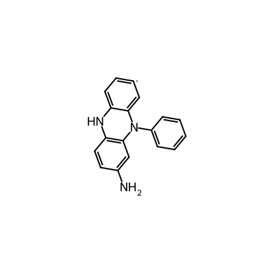 Nc1ccc2c(c1)N(c1ccccc1)c1c[c]ccc1N2